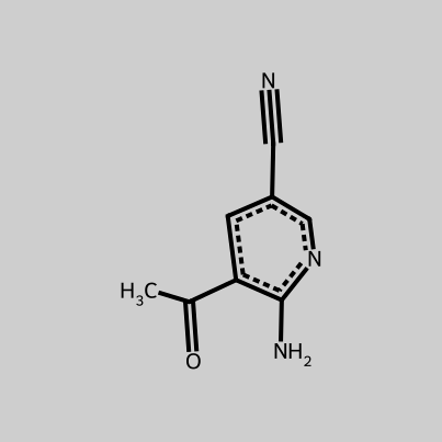 CC(=O)c1cc(C#N)cnc1N